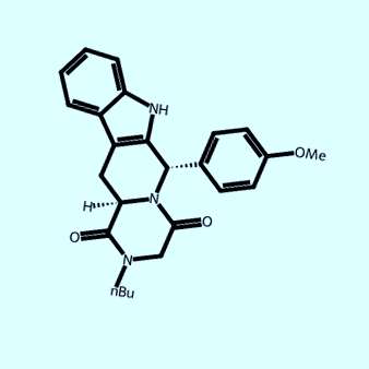 CCCCN1CC(=O)N2[C@@H](c3ccc(OC)cc3)c3[nH]c4ccccc4c3C[C@@H]2C1=O